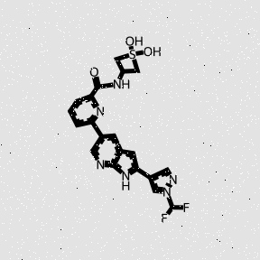 O=C(NC1CS(O)(O)C1)c1cccc(-c2cnc3[nH]c(-c4cnn(C(F)F)c4)cc3c2)n1